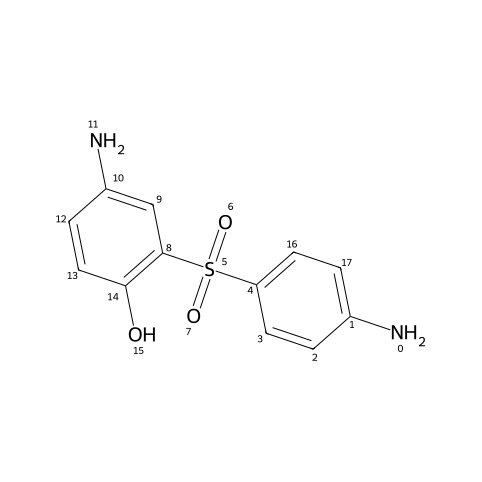 Nc1ccc(S(=O)(=O)c2cc(N)ccc2O)cc1